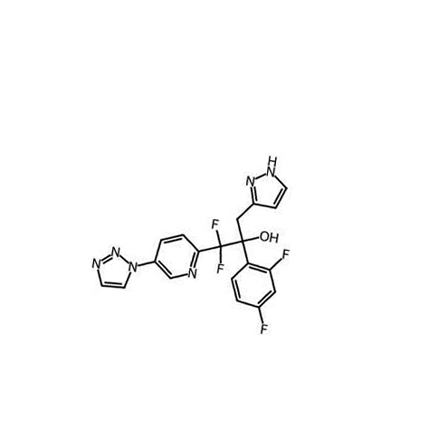 OC(Cc1cc[nH]n1)(c1ccc(F)cc1F)C(F)(F)c1ccc(-n2ccnn2)cn1